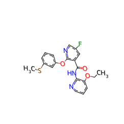 CCOc1cccnc1NC(=O)c1cc(F)cnc1Oc1cccc(SC)c1